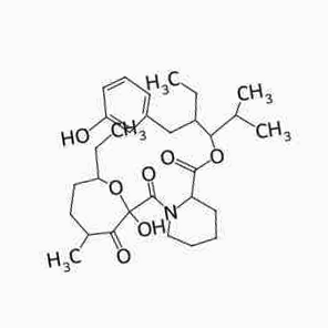 CCC1CCC(C)C(=O)C(O)(C(=O)N2CCCCC2C(=O)OC(C(C)C)C(CC)Cc2cccc(O)c2)O1